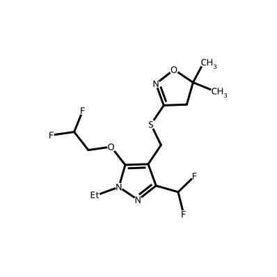 CCn1nc(C(F)F)c(CSC2=NOC(C)(C)C2)c1OCC(F)F